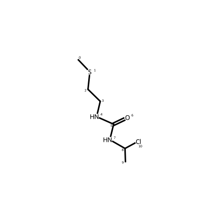 CSCCNC(=O)NC(C)Cl